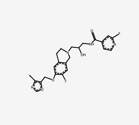 Cc1ncoc1COc1cc2c(cc1F)CN(CC(O)CNC(=O)c1ccnc(F)c1)CC2